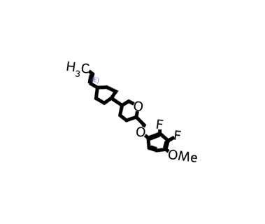 C/C=C/C1CCC(C2CCC(COc3ccc(OC)c(F)c3F)OC2)CC1